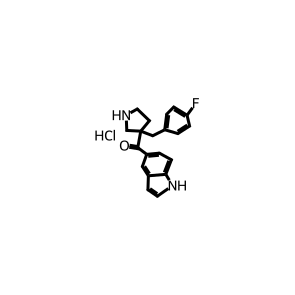 Cl.O=C(c1ccc2[nH]ccc2c1)C1(Cc2ccc(F)cc2)CCNC1